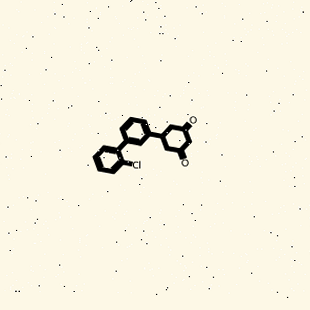 O=C1CC(=O)CC(c2cccc(-c3ccccc3Cl)c2)C1